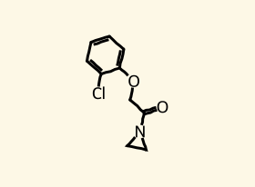 O=C(COc1ccccc1Cl)N1CC1